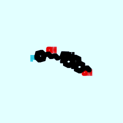 CC[C@]1(O)CC[C@@]2(C)C(=CC[C@H]3[C@@H]4CC[C@H](CCC[C@H](O)c5ccc(F)cc5)[C@@]4(C)CC[C@@H]32)C1